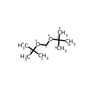 CC(C)(C)O[CH]OC(C)(C)C